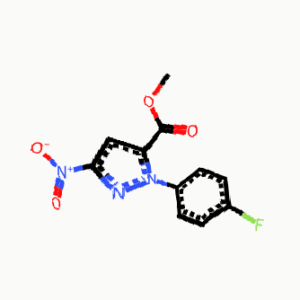 COC(=O)c1cc([N+](=O)[O-])nn1-c1ccc(F)cc1